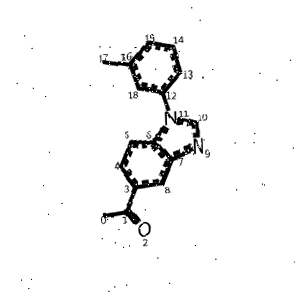 CC(=O)c1ccc2c(c1)ncn2-c1cccc(C)c1